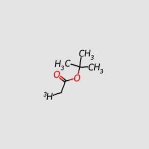 [3H]CC(=O)OC(C)(C)C